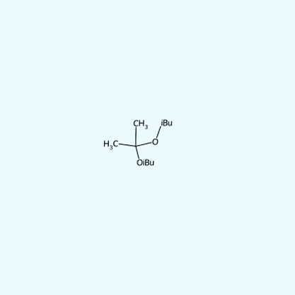 CCC(C)OC(C)(C)OCC(C)C